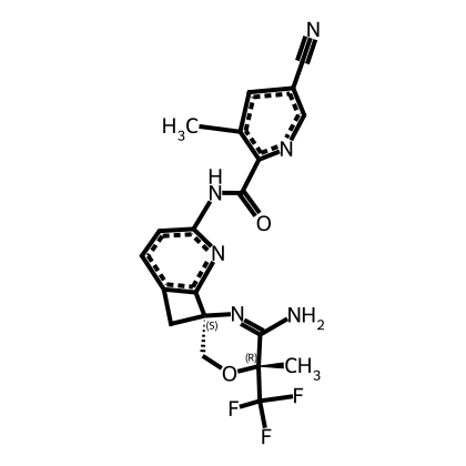 Cc1cc(C#N)cnc1C(=O)Nc1ccc2c(n1)[C@]1(CO[C@@](C)(C(F)(F)F)C(N)=N1)C2